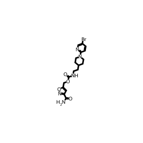 NC(=O)c1cc(COC(=O)NCCC2CCN(c3ccc(Br)cn3)CC2)on1